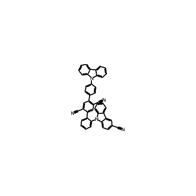 N#Cc1ccc2c(c1)c1ccccc1n2-c1ccccc1-c1cc(C#N)c(-c2ccc(-n3c4ccccc4c4ccccc43)cc2)cc1C#N